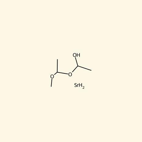 COC(C)OC(C)O.[SrH2]